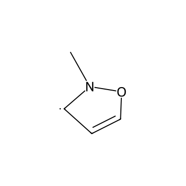 CN1[CH]C=CO1